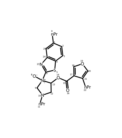 CCCc1ccc2sc([N+]3([O-])CN(CCC)CC3OC(=O)c3cocc3CCC)nc2c1